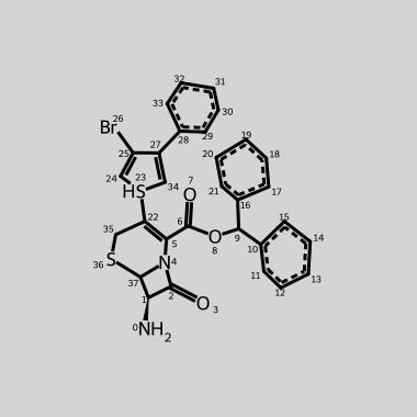 N[C@@H]1C(=O)N2C(C(=O)OC(c3ccccc3)c3ccccc3)=C([SH]3C=C(Br)C(c4ccccc4)=C3)CSC12